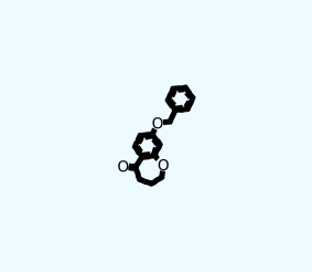 O=C1CCCOc2cc(OCc3ccccc3)ccc21